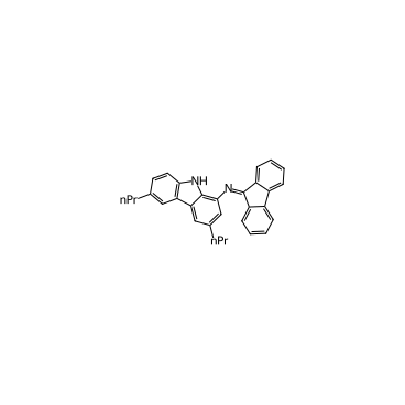 CCCc1ccc2[nH]c3c(N=C4c5ccccc5-c5ccccc54)cc(CCC)cc3c2c1